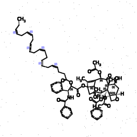 CC/C=C\C/C=C\C/C=C\C/C=C\C/C=C\C/C=C\CCC(=O)O[C@@H](C(=O)OC12C[C@@]3(O)[C@@H](OC(=O)c4ccccc4)[C@@H]4[C@]5(OC(C)=O)CO[C@@H]5C[C@H](O)[C@@]4(C)C(=O)[C@H](OC(C)=O)C(=C1C)[C@@]23C)C(NC(=O)c1ccccc1)c1ccccc1